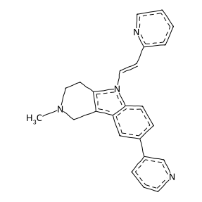 CN1CCc2c(c3cc(-c4cccnc4)ccc3n2C=Cc2ccccn2)C1